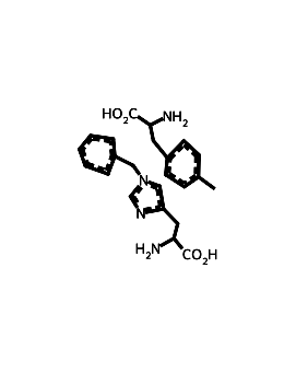 Cc1ccc(CC(N)C(=O)O)cc1.NC(Cc1cn(Cc2ccccc2)cn1)C(=O)O